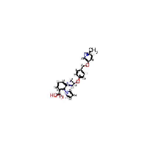 Cc1ccc(OCc2ccc(OC3CN(c4cccc(C(=O)O)c4-n4cccc4)C3)cc2)cn1